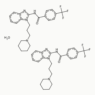 O.O=C(Nc1nc2ccccc2n1CCCN1CCCCC1)c1ccc(C(F)(F)F)cc1.O=C(Nc1nc2ccccc2n1CCCN1CCCCC1)c1ccc(C(F)(F)F)cc1